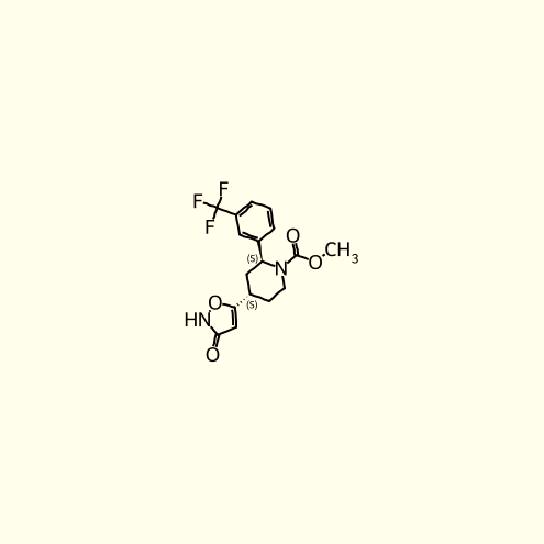 COC(=O)N1CC[C@H](c2cc(=O)[nH]o2)C[C@H]1c1cccc(C(F)(F)F)c1